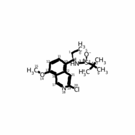 CC[C@@H](N[S@@+]([O-])C(C)(C)C)c1ccc(OC)c2cnc(Cl)cc12